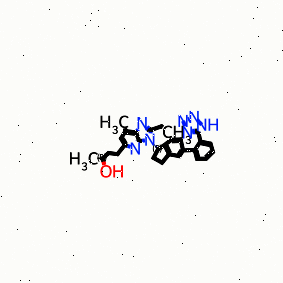 CCc1nc2c(C)cc(CC[C@@H](C)O)nc2n1[C@H]1CCc2cc(-c3ccccc3-c3nnn[nH]3)ccc21